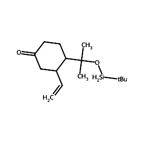 C=CC1CC(=O)CCC1C(C)(C)O[SiH2]C(C)(C)C